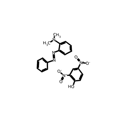 CN(C)c1ccccc1N=Nc1ccccc1.O=[N+]([O-])c1ccc(O)c([N+](=O)[O-])c1